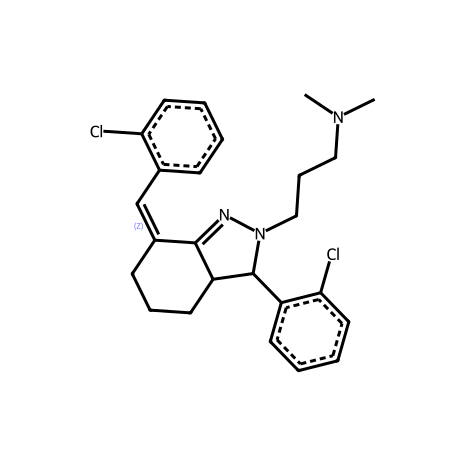 CN(C)CCCN1N=C2/C(=C\c3ccccc3Cl)CCCC2C1c1ccccc1Cl